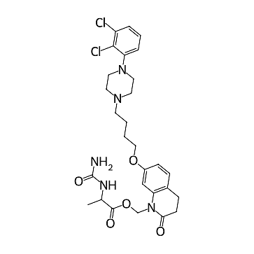 CC(NC(N)=O)C(=O)OCN1C(=O)CCc2ccc(OCCCCN3CCN(c4cccc(Cl)c4Cl)CC3)cc21